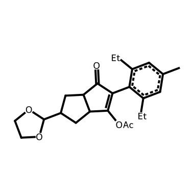 CCc1cc(C)cc(CC)c1C1=C(OC(C)=O)C2CC(C3OCCO3)CC2C1=O